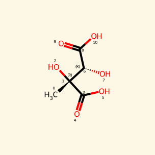 C[C@](O)(C(=O)O)[C@@H](O)C(=O)O